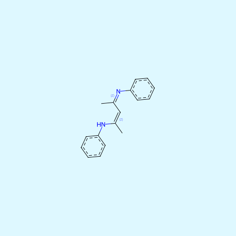 C/C(=C/C(C)=N\c1ccccc1)Nc1ccccc1